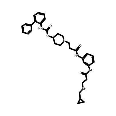 O=C(CCNCC1CC1)Nc1cccc(NC(=O)CCN2CCC(OC(=O)Nc3ccccc3-c3ccccc3)CC2)c1